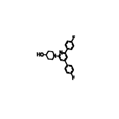 OC1CCN(c2cc(-c3ccc(F)cc3)cc(-c3ccc(F)cc3)n2)CC1